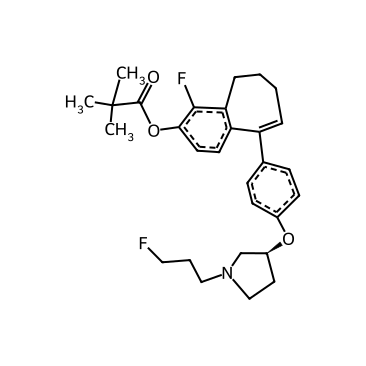 CC(C)(C)C(=O)Oc1ccc2c(c1F)CCCC=C2c1ccc(O[C@H]2CCN(CCCF)C2)cc1